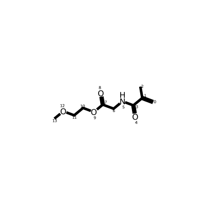 C=C(C)C(=O)NCC(=O)OCCOC